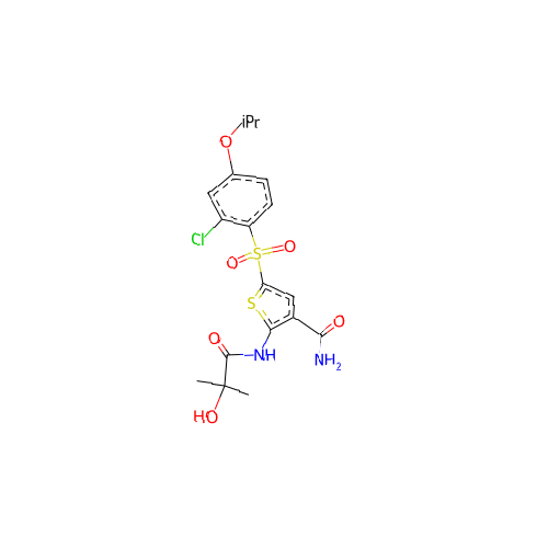 CC(C)Oc1ccc(S(=O)(=O)c2cc(C(N)=O)c(NC(=O)C(C)(C)O)s2)c(Cl)c1